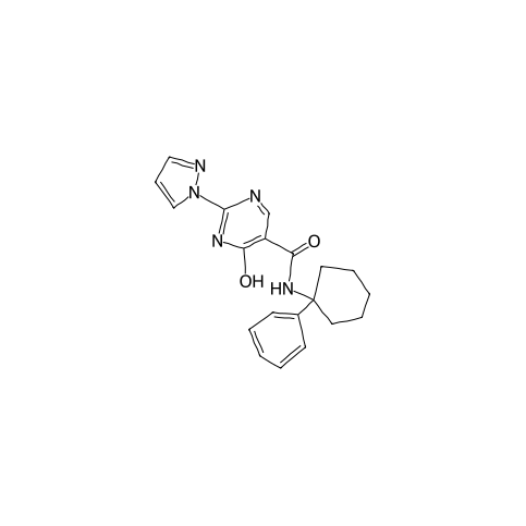 O=C(NC1(c2ccccc2)CCCCC1)c1cnc(-n2cccn2)nc1O